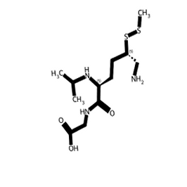 CSS[C@H](CN)CC[C@H](NC(C)C)C(=O)NCC(=O)O